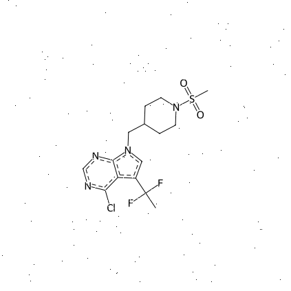 CC(F)(F)c1cn(CC2CCN(S(C)(=O)=O)CC2)c2ncnc(Cl)c12